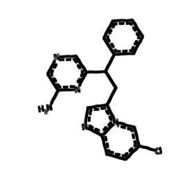 Nc1cncc(C(Cc2cnc3ccc(Cl)cn23)c2ccccc2)n1